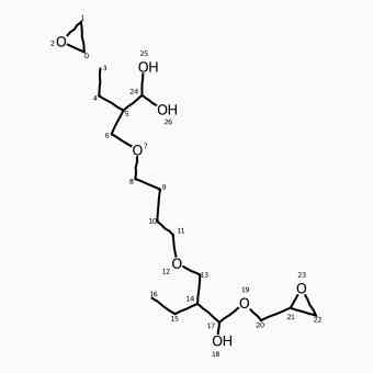 C1CO1.CCC(COCCCCOCC(CC)C(O)OCC1CO1)C(O)O